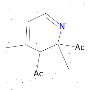 CC(=O)C1C(C)=CC=NC1(C)C(C)=O